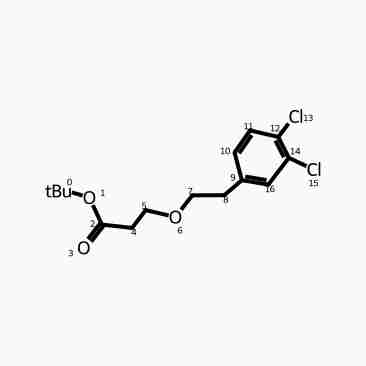 CC(C)(C)OC(=O)CCOCCc1ccc(Cl)c(Cl)c1